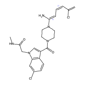 C=C(Cl)/C=C\C=C(/N)N1CCN(C(=O)c2cn(CC(=O)NC)c3cc(Cl)ccc23)CC1